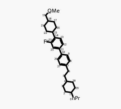 CCCC1CCC(CCc2ccc(-c3ccc(C4CCC(COC)CC4)c(F)c3)cc2)CC1